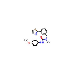 CC(C)N(Cc1cccc(-c2nccs2)c1)C(=O)Nc1ccc(OC(F)(F)F)cc1